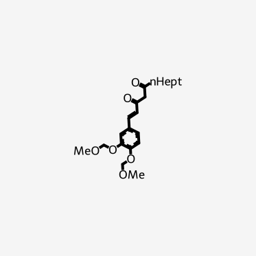 CCCCCCCC(=O)CC(=O)C=Cc1ccc(OCOC)c(OCOC)c1